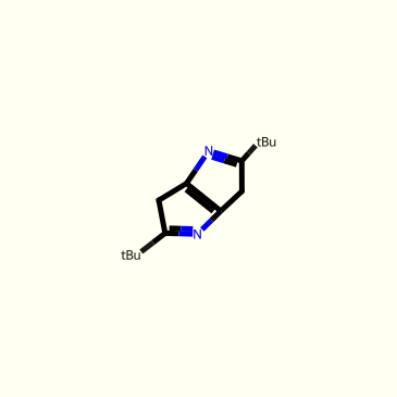 CC(C)(C)C1=NC2=C(C1)N=C(C(C)(C)C)C2